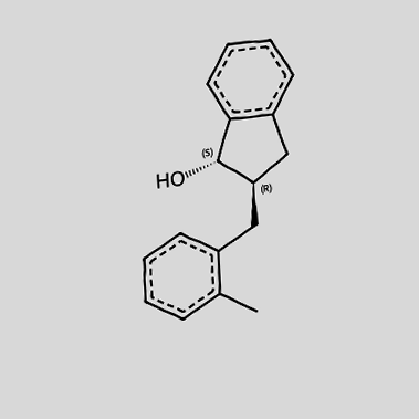 Cc1ccccc1C[C@@H]1Cc2ccccc2[C@H]1O